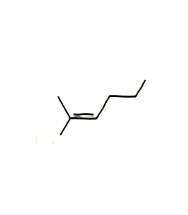 CCCCC/C(C)=C/CCC(C)=O